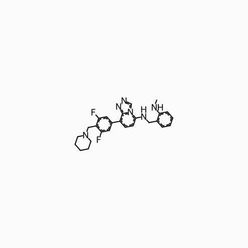 CNc1ccccc1CNc1ccc(-c2cc(F)c(CN3CCCCC3)c(F)c2)c2nncn12